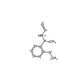 COc1ccccc1C(C)N[C]=O